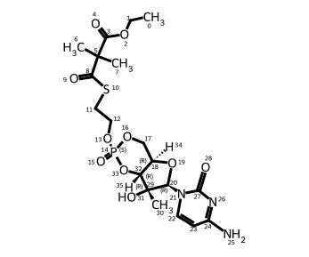 CCOC(=O)C(C)(C)C(=O)SCCO[P@]1(=O)OC[C@H]2O[C@@H](n3ccc(N)nc3=O)[C@](C)(O)[C@@H]2O1